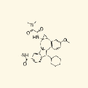 CNC(=O)c1ccc2c(C3CCCCC3)c3n(c2c1)CC1(NC(=O)C(=O)N(C)C)CC1c1cc(OC)ccc1-3